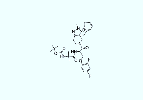 CN1N=C2CCN(C(=O)C(COc3ccc(F)cc3F)NC(=O)C(C)(C)NC(=O)OC(C)(C)C)C[C@@]2(Cc2ccccc2)C1=O